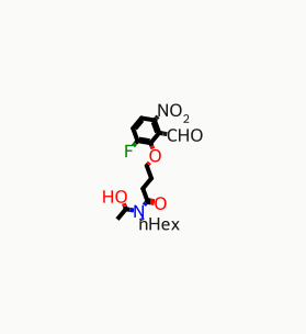 CCCCCCN(C(=O)CCCOc1c(F)ccc([N+](=O)[O-])c1C=O)C(C)O